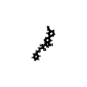 N#Cc1cccc(-c2ccc3c(NC(=O)COCc4ccccc4)n[nH]c3c2)c1